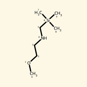 COCCNC[Si](C)(C)C